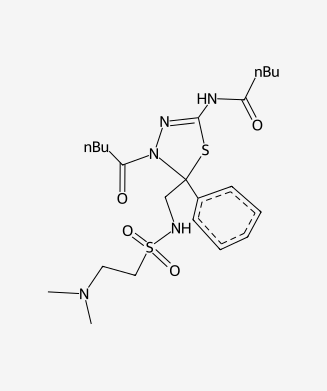 CCCCC(=O)NC1=NN(C(=O)CCCC)C(CNS(=O)(=O)CCN(C)C)(c2ccccc2)S1